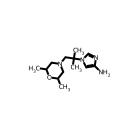 CC1CN(CC(C)(C)n2cnc(N)c2)CC(C)O1